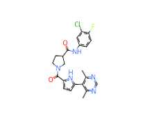 Cc1ncnc(C)c1-c1ccc(C(=O)N2CCC(C(=O)Nc3ccc(F)c(Cl)c3)C2)[nH]1